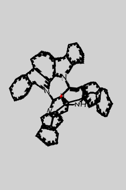 C1=C(c2ccccc2)NC(c2ccccc2)C=C1n1c2ccccc2c2ccc3c4ccccc4n(-c4nc(-c5ccccc5)cc(-c5ccccc5)n4)c3c21